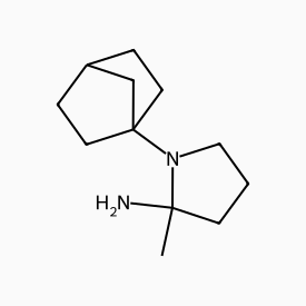 CC1(N)CCCN1C12CCC(CC1)C2